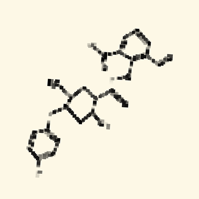 CC1CN(C(=O)COc2c(C=O)cccc2[N+](=O)[O-])C(C)CN1Cc1ccc(F)cc1